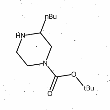 CCCCC1CN(C(=O)OC(C)(C)C)CCN1